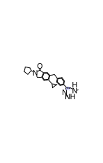 CN/C=C(\N=N)c1ccc(Cc2cc3c(cc2C2CC2)CN(C2CCCC2)C3=O)cc1